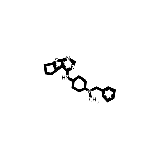 CN(Cc1ccccc1)C1CCC(Nc2ncnc3sc4c(c23)CCC4)CC1